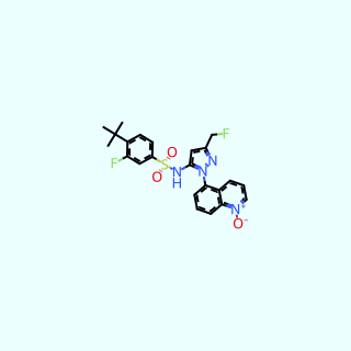 CC(C)(C)c1ccc(S(=O)(=O)Nc2cc(CF)nn2-c2cccc3c2ccc[n+]3[O-])cc1F